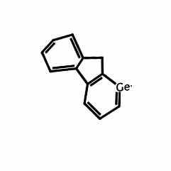 C1=CC2=[C](Cc3ccccc32)[Ge]=[CH]1